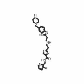 O=C(NCc1ncccc1F)c1coc(CCNCCc2nc3ccc(CN4CCNCC4)cc3[nH]2)n1